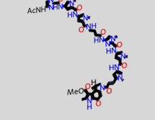 COC(=O)c1c(C)[nH]c2c1[C@@]13C[C@@H]1CN(C(=O)/C=C/c1cc(NC(=O)c4cc(NC(=O)c5nc(NC(=O)CCCNC(=O)c6cc(NC(=O)c7cc(NC(=O)c8nc(NC(C)=O)cn8C)cn7C)cn6C)cn5C)cn4C)cn1C)C3=CC2=O